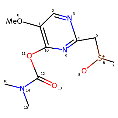 COc1cnc(C[S+](C)[O-])nc1OC(=O)N(C)C